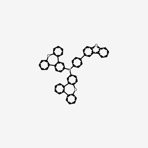 c1ccc2c(c1)Oc1ccc(N(c3ccc(-c4ccc5oc6ccccc6c5c4)cc3)c3ccc4c(c3)-c3ccccc3Oc3ccccc3-4)cc1-c1ccccc1-2